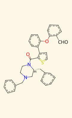 O=Cc1ccccc1Oc1ccccc1-c1ccsc1C(=O)N1CCN(Cc2ccccc2)C[C@H]1Cc1ccccc1